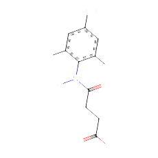 Cc1cc(C)c(N(C)C(=O)CCC(=O)O)c(C)c1